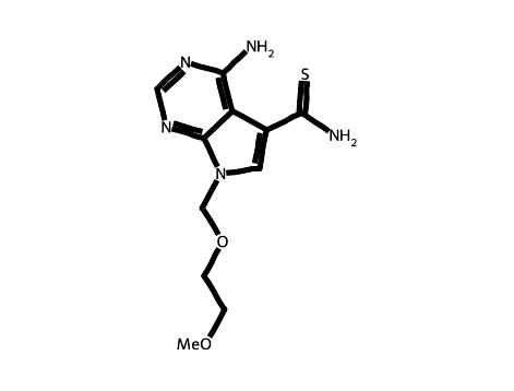 COCCOCn1cc(C(N)=S)c2c(N)ncnc21